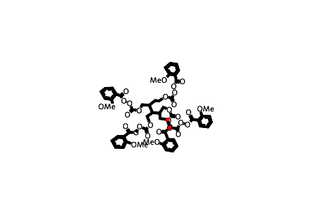 COc1ccccc1C(=O)OOC(=O)OCCC(COC(=O)OOC(=O)c1ccccc1OC)C(COC(=O)OOC(=O)c1ccccc1OC)C(CCOC(=O)OOC(=O)c1ccccc1OC)COC(=O)OOC(=O)c1ccccc1OC